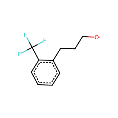 [O]CCCc1ccccc1C(F)(F)F